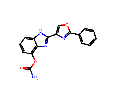 NC(=O)Oc1cccc2[nH]c(-c3coc(-c4ccccc4)n3)nc12